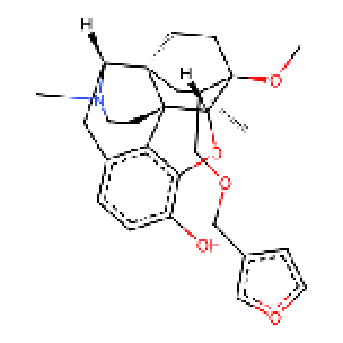 CO[C@]12CC[C@@]3(C[C@]1(C)COCc1ccoc1)[C@H]1Cc4ccc(O)c5c4[C@@]3(CCN1C)[C@H]2O5